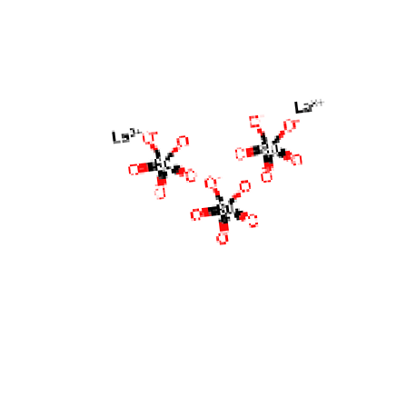 [La+3].[La+3].[O]=[Ru](=[O])(=[O])([O-])[O-].[O]=[Ru](=[O])(=[O])([O-])[O-].[O]=[Ru](=[O])(=[O])([O-])[O-]